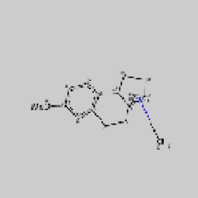 COc1ccc2c(c1)CCC13CN(C)CC1CCC23